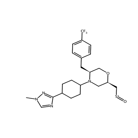 Cn1cnc(C2CCC(N3C[C@H](C[S+]=O)OC[C@@H]3Cc3ccc(C(F)(F)F)cc3)CC2)n1